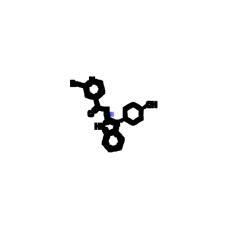 O=C(/N=c1\[nH]c2ccccc2n1[C@H]1CC[C@@H](O)CC1)c1ccnc(Br)c1